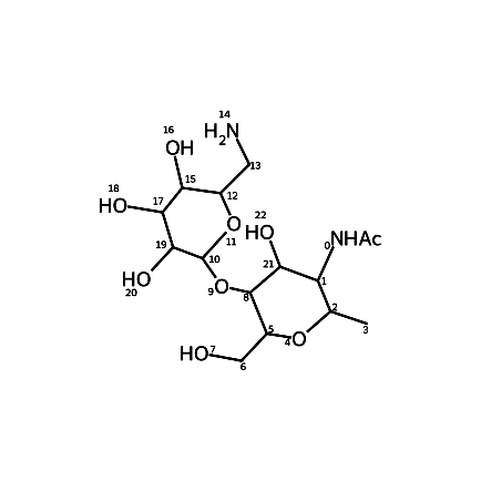 CC(=O)NC1C(C)OC(CO)C(OC2OC(CN)C(O)C(O)C2O)C1O